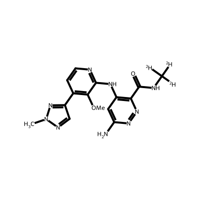 [2H]C([2H])([2H])NC(=O)c1nnc(N)cc1Nc1nccc(-c2cnn(C)n2)c1OC